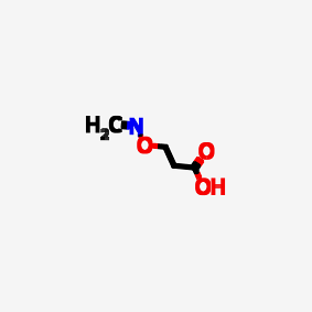 C=NOCCC(=O)O